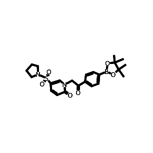 CC1(C)OB(c2ccc(C(=O)Cn3cc(S(=O)(=O)N4CCCC4)ccc3=O)cc2)OC1(C)C